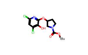 CC(C)(C)OC(=O)N1CCC(Oc2nc(Cl)cc(Cl)c2O)C1